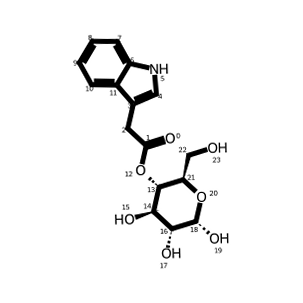 O=C(Cc1c[nH]c2ccccc12)O[C@H]1[C@H](O)[C@@H](O)[C@@H](O)O[C@@H]1CO